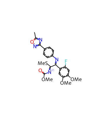 COC(=O)/N=C(\SC)C(=Nc1ccc(-c2noc(C)n2)cc1)c1cc(OC)c(OC)cc1F